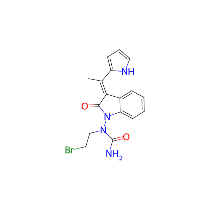 CC(=C1C(=O)N(N(CCBr)C(N)=O)c2ccccc21)c1ccc[nH]1